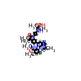 CNC(=O)c1cc(Nc2nc(-c3ccc4c(c3)N([C@H]3C[C@@H](NCC(C)(C)O)C3)C(=O)C4(C)C)cc3ncn(C(C)C)c23)c(F)cc1C